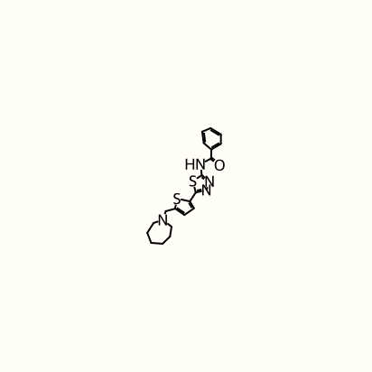 O=C(Nc1nnc(-c2ccc(CN3CCCCCC3)s2)s1)c1ccccc1